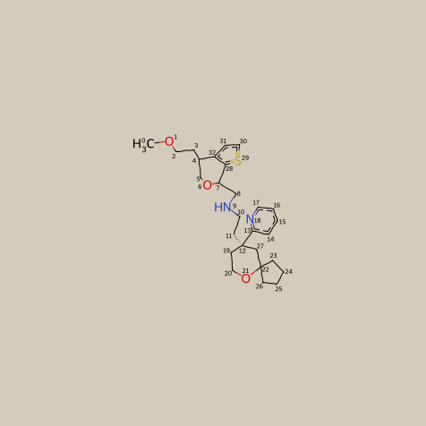 COCCC1COC(CNCC[C@@]2(c3ccccn3)CCOC3(CCCC3)C2)c2sccc21